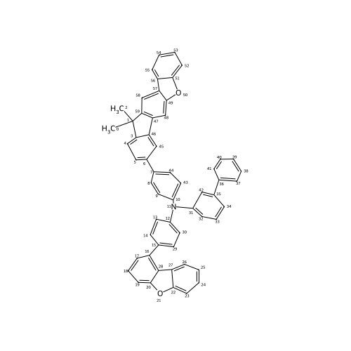 CC1(C)c2ccc(-c3ccc(N(c4ccc(-c5cccc6oc7ccccc7c56)cc4)c4cccc(-c5ccccc5)c4)cc3)cc2-c2cc3oc4ccccc4c3cc21